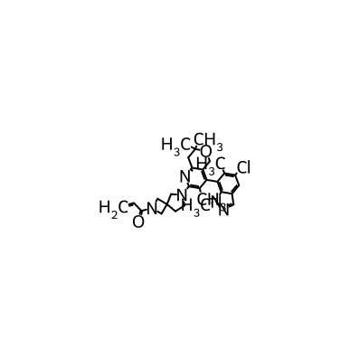 C=CC(=O)N1CC2(CCN(c3nc4c(c(-c5c(C)c(Cl)cc6cnn(C)c56)c3C)COC(C)(C)C4)C2)C1